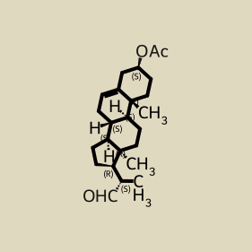 CC(=O)O[C@H]1CC[C@@]2(C)C(=CC[C@H]3[C@@H]4CC[C@H]([C@H](C)C=O)[C@]4(C)CC[C@@H]32)C1